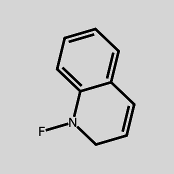 FN1CC=Cc2ccccc21